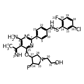 CC(=N)c1c(N)nc(-c2ccc(NSc3cc(Cl)ccc3F)cc2)nc1OC1CN(CCO)CC1F